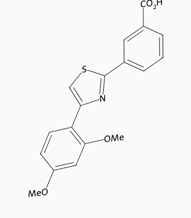 COc1ccc(-c2csc(-c3cccc(C(=O)O)c3)n2)c(OC)c1